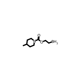 BCCOC(=O)N1CCC(C)CC1